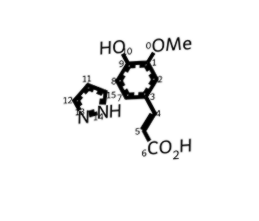 COc1cc(/C=C/C(=O)O)ccc1O.c1cn[nH]c1